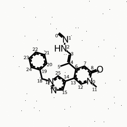 C=NN/C=C(\C)c1cc(=O)n(C)cc1-c1cnn(Cc2ccccc2)c1